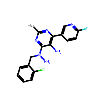 CC(C)(C)c1nc(-c2ccc(F)nc2)c(N)c(N(N)Cc2ccccc2Cl)n1